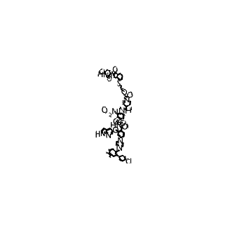 CC1(C)CCC(CN2CCN(c3ccc(C(=O)NS(=O)(=O)c4ccc(NCC5CCN(C(=O)COCCSc6cccc7c6CN(C6CCC(=O)NC6=O)C7=O)CC5)c([N+](=O)[O-])c4)c(Oc4cnc5[nH]ccc5c4)c3)CC2)=C(c2ccc(Cl)cc2)C1